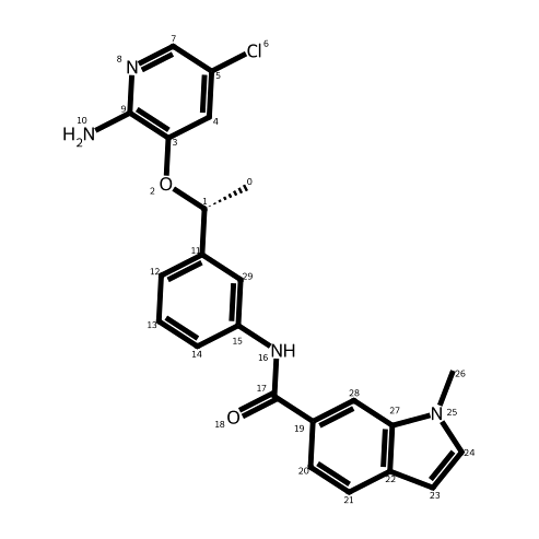 C[C@@H](Oc1cc(Cl)cnc1N)c1cccc(NC(=O)c2ccc3ccn(C)c3c2)c1